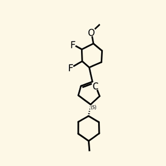 COC1CCC(C2=CC[C@@H](C3CCC(C)CC3)CC2)C(F)C1F